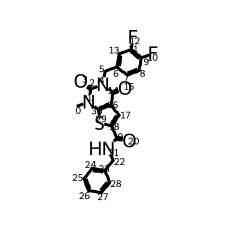 Cn1c(=O)n(Cc2ccc(F)c(F)c2)c(=O)c2cc(C(=O)NCc3ccccc3)sc21